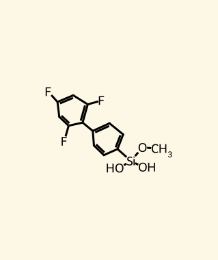 CO[Si](O)(O)c1ccc(-c2c(F)cc(F)cc2F)cc1